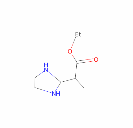 CCOC(=O)C(C)C1NCCN1